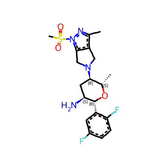 Cc1nn(S(C)(=O)=O)c2c1CN([C@@H]1C[C@H](N)[C@@H](c3cc(F)ccc3F)O[C@H]1C)C2